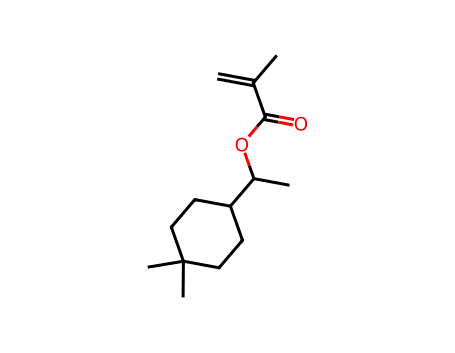 C=C(C)C(=O)OC(C)C1CCC(C)(C)CC1